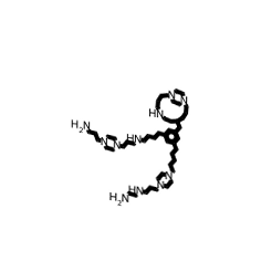 NCCCN1CCN(CCCNCCCCc2cc(CCCCCN3CCN(CCCNCCN)CC3)cc(CC3CCCN4CCN(CCCNCC3)CC4)c2)CC1